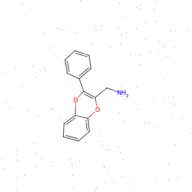 NCC1=C(c2ccccc2)Oc2ccccc2O1